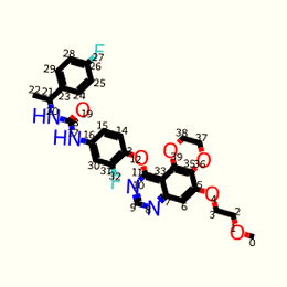 COCCOc1cc2ncnc(Oc3ccc(NC(=O)NC(C)c4ccc(F)cc4)cc3F)c2c2c1OCCO2